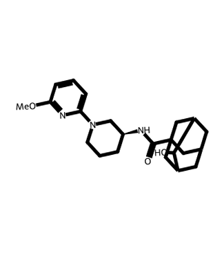 COc1cccc(N2CCC[C@H](NC(=O)C34CC5CC(C3)C(O)C(C5)C4)C2)n1